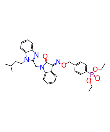 CCOP(=O)(OCC)c1ccc(CO/N=C2/C(=O)N(Cc3nc4ccccc4n3CCC(C)C)c3ccccc32)cc1